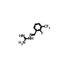 N=C(N)N/N=C/c1cccc(C(F)(F)F)c1F